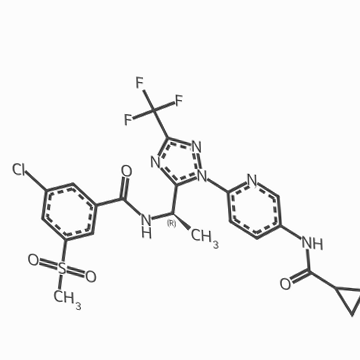 C[C@@H](NC(=O)c1cc(Cl)cc(S(C)(=O)=O)c1)c1nc(C(F)(F)F)nn1-c1ccc(NC(=O)C2CC2)cn1